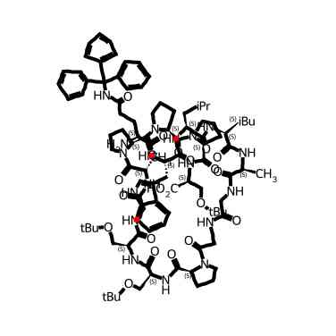 CC[C@H](C)[C@H](NC(=O)[C@H](CC(C)C)NC(=O)[C@H](Cc1c[nH]c2ccccc12)NC(=O)[C@@H](N)CCC(=O)NC(c1ccccc1)(c1ccccc1)c1ccccc1)C(=O)N[C@@H](C)C(=O)NCC(=O)NCC(=O)N1CCC[C@H]1C(=O)N[C@@H](COC(C)(C)C)C(=O)N[C@@H](COC(C)(C)C)C(=O)NCC(=O)N[C@@H](C)C(=O)N1CCC[C@H]1C(=O)N1CCC[C@H]1C(=O)N1CCC[C@H]1C(=O)N[C@@H](COC(C)(C)C)C(=O)O